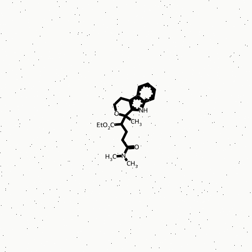 CCOC(=O)C(CCC(=O)N(C)C)C1(C)OCCc2c1[nH]c1ccccc21